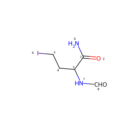 NC(=O)C(CCI)NC=O